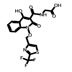 O=C(O)CNC(=O)c1c(O)c2ccccc2n(OCc2csc(C(F)(F)F)n2)c1=O